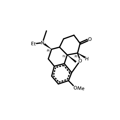 CCN(C)[C@@H]1Cc2ccc(OC)c3c2[C@]2(C)C1CCC(=O)[C@@H]2O3